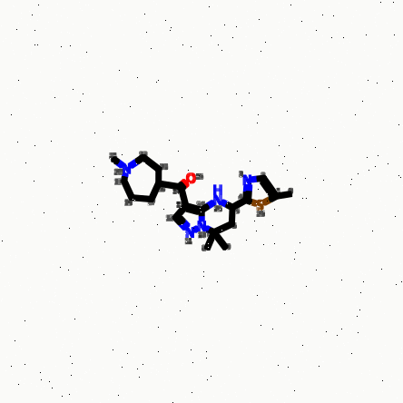 Cc1cnc(C2CC(C)(C)n3ncc(C(=O)C4CCCN(C)CC4)c3N2)s1